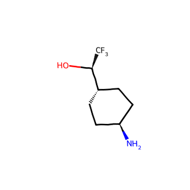 N[C@H]1CC[C@H]([C@@H](O)C(F)(F)F)CC1